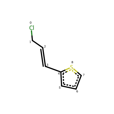 ClCC=Cc1cccs1